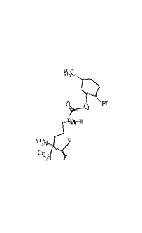 CC1CCC(C(C)C)C(OC(=O)NCCCC(N)(C(=O)O)C(F)F)C1